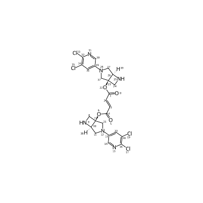 O=C(/C=C/C(=O)O[C@]12CN[C@@H]1CN(c1cnc(Cl)c(Cl)c1)C2)O[C@]12CN[C@@H]1CN(c1cnc(Cl)c(Cl)c1)C2